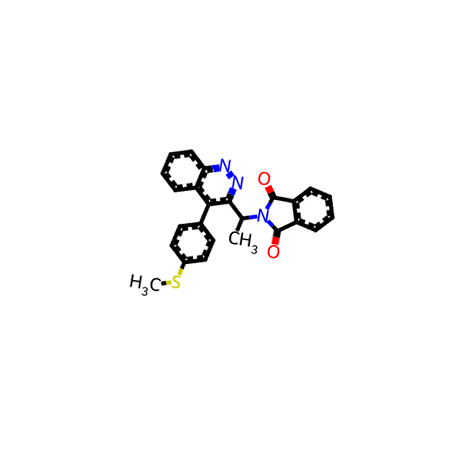 CSc1ccc(-c2c(C(C)N3C(=O)c4ccccc4C3=O)nnc3ccccc23)cc1